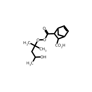 CC(O)CC(C)(C)OOC(=O)C1C2C=CC(C2)C1C(=O)O